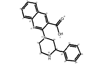 O=C(O)c1cc2ccccc2nc1N1CCNC(c2ccccc2)C1